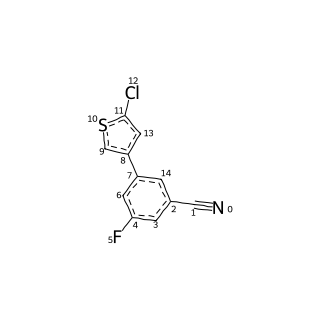 N#Cc1cc(F)cc(-c2csc(Cl)c2)c1